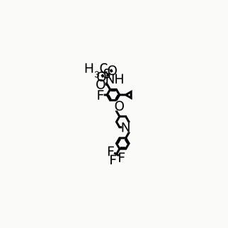 CS(=O)(=O)NC(=O)c1cc(C2CC2)c(OCC2CCN(Cc3ccc(C(F)(F)F)cc3)CC2)cc1F